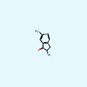 Cc1ccc2c(c1)C(=O)C(C)C2